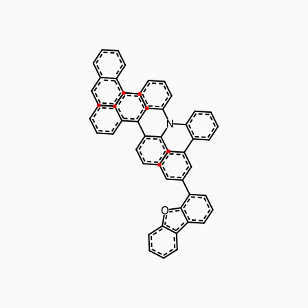 c1cc(-c2ccccc2N(c2cccc(-c3cccc4ccccc34)c2)c2ccccc2-c2cccc3ccccc23)cc(-c2cccc3c2oc2ccccc23)c1